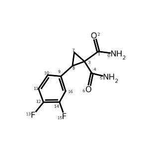 NC(=O)C1(C(N)=O)CC1c1ccc(F)c(F)c1